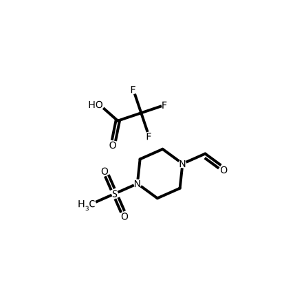 CS(=O)(=O)N1CCN(C=O)CC1.O=C(O)C(F)(F)F